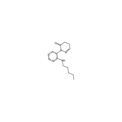 CCCCCNc1ccccc1N1N=CCCC1=O